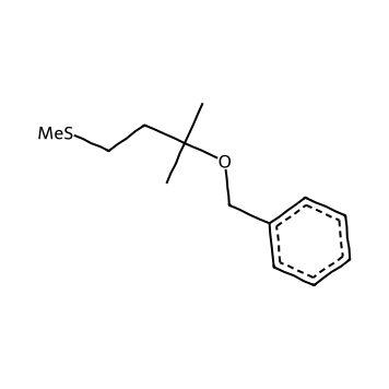 CSCCC(C)(C)OCc1ccccc1